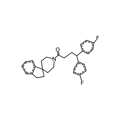 O=C(CCC(c1ccc(F)cc1)c1ccc(F)cc1)N1CCC2(CCc3ccccc32)CC1